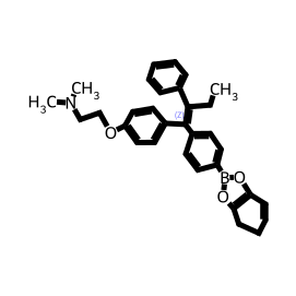 CC/C(=C(/c1ccc(OCCN(C)C)cc1)c1ccc(B2OC3=C(CCC=C3)O2)cc1)c1ccccc1